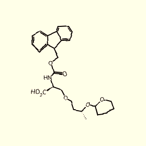 C[C@H](CCOC[C@H](NC(=O)OCC1c2ccccc2-c2ccccc21)C(=O)O)OC1CCCCO1